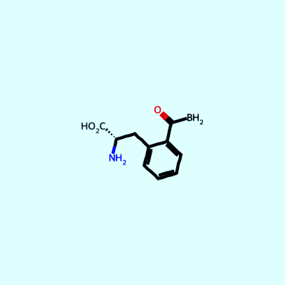 BC(=O)c1ccccc1C[C@H](N)C(=O)O